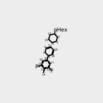 CCCCCC[C@H]1CC[C@H](C2=CCC(c3cc(F)c(C)c(F)c3)C=C2)CC1